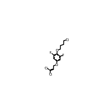 Fc1cc(OCC=C(Cl)Cl)cc(F)c1OCCCCCl